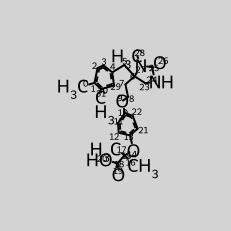 Cc1ccc(CC2(CCOc3ccc(OC(C)(C)C(=O)O)cc3)CNC(=O)N2C)cc1C